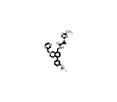 Cc1noc([C@@H]2CC2C(=O)NCc2ccc(-c3cccc(OC(F)(F)F)c3)c3c2CN(Cc2cnccn2)CC3)n1